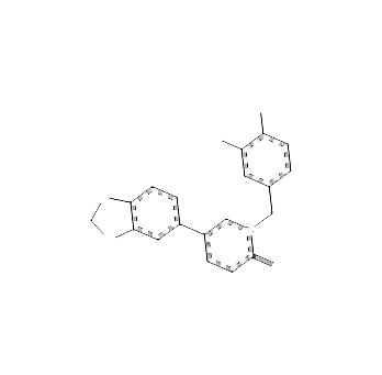 O=c1ccc(-c2ccc3c(c2)OCO3)cn1Cc1ccc(F)c(F)c1